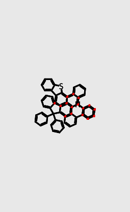 c1ccc(-c2ccccc2-c2ccccc2-c2ccccc2N(c2ccc3c(c2)-c2ccccc2C3(c2ccccc2)c2ccccc2)c2ccccc2-c2cccc3c2sc2ccccc23)cc1